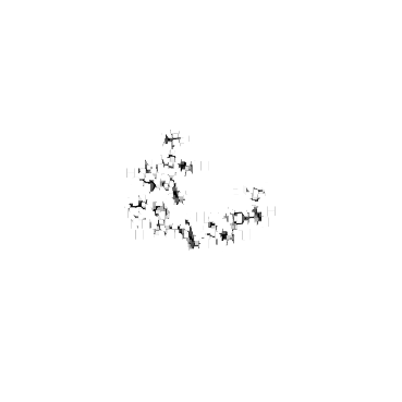 CCN1C[C@@H](COP(=O)(N(C)C)N2C[C@@H](COP(=O)(N(C)C)N3C[C@@H](COP(=O)(N(C)C)N4C[C@@H](COP(=O)(N(C)C)N5C[C@@H](COP(=O)(N(C)C)N6C[C@@H](COP(=O)(N(C)C)N7C[C@@H](COP(=O)(CC)N(C)C)O[C@@H](C)C7)O[C@@H](n7cnc8c(=O)[nH]c(N)nc87)C6)O[C@@H](n6cnc7c(=O)[nH]c(N)nc76)C5)O[C@@H](C)C4)O[C@@H](C)C3)O[C@@H](C)C2)O[C@@H](C)C1